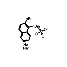 CCCCc1ccc2ccccc2c1CCCC.O=S(=O)([O-])[O-].[Na+].[Na+]